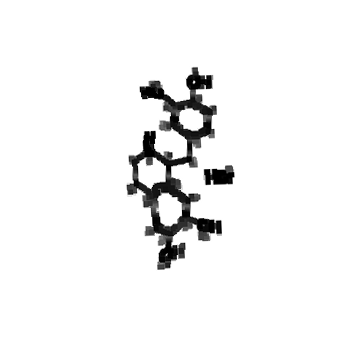 Br.Oc1ccc(CC2NCCc3cc(O)c(O)cc32)cc1O